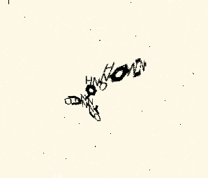 CC1COCCN1c1nc(-c2ccc(NC(=O)Nc3ccc(N4CCN(C)CC4)cc3)cc2)nc(N2C3CCC2COC3)n1